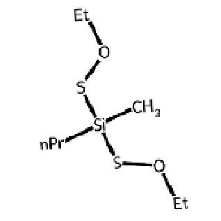 CCC[Si](C)(SOCC)SOCC